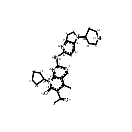 CC(=O)c1c(C)c2cnc(Nc3ccc4c(n3)CCN4C3CCNCC3)nc2n(C2CCCC2)c1=O